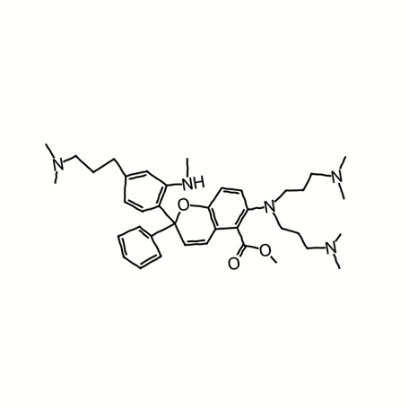 CNc1cc(CCCN(C)C)ccc1C1(c2ccccc2)C=Cc2c(ccc(N(CCCN(C)C)CCCN(C)C)c2C(=O)OC)O1